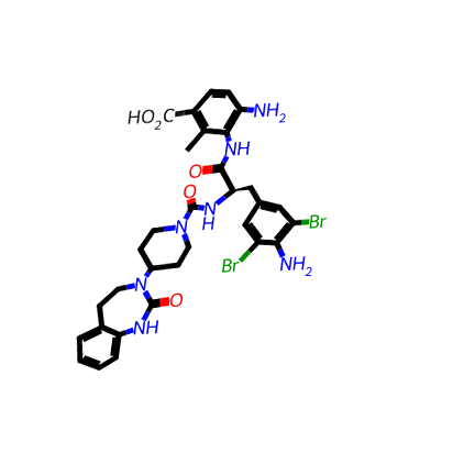 Cc1c(C(=O)O)ccc(N)c1NC(=O)[C@@H](Cc1cc(Br)c(N)c(Br)c1)NC(=O)N1CCC(N2CCc3ccccc3NC2=O)CC1